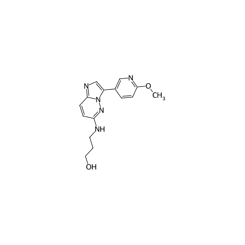 COc1ccc(-c2cnc3ccc(NCCCO)nn23)cn1